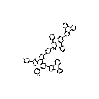 c1ccc(-c2nc(-c3ccc(-c4ccc(-c5nc(-c6ccncc6)nc(-c6ccncc6)n5)c(-c5cccc(-c6ccc7c8ccccc8c8ccccc8c7c6)c5)c4)cc3)nc(-c3ccccc3-c3cccc(-c4ccc5c6ccccc6c6ccccc6c5c4)c3)n2)cc1